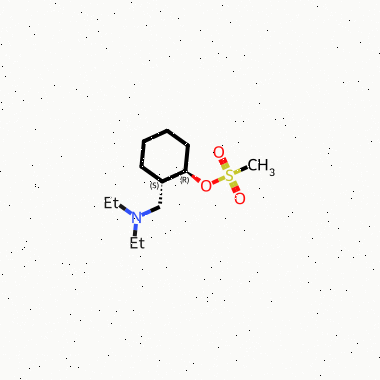 CCN(CC)C[C@@H]1CCCC[C@H]1OS(C)(=O)=O